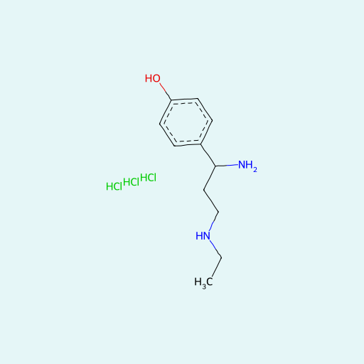 CCNCCC(N)c1ccc(O)cc1.Cl.Cl.Cl